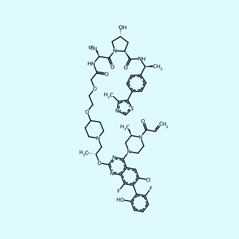 C=CC(=O)N1CCN(c2nc(O[C@H](C)CN3CCC(OCCOCC(=O)N[C@H](C(=O)N4C[C@H](O)C[C@H]4C(=O)N[C@@H](C)c4ccc(-c5scnc5C)cc4)C(C)(C)C)CC3)nc3c(F)c(-c4c(O)cccc4F)c(Cl)cc23)C[C@H]1C